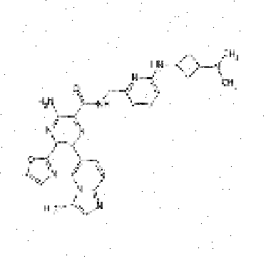 Cc1cnc2ccc(-c3nc(C(=O)NCc4cccc(N[C@H]5C[C@H](N(C)C)C5)n4)c(N)nc3-c3ncco3)cn12